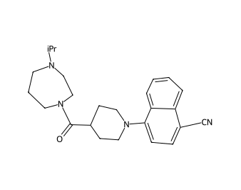 CC(C)N1CCCN(C(=O)C2CCN(c3ccc(C#N)c4ccccc34)CC2)CC1